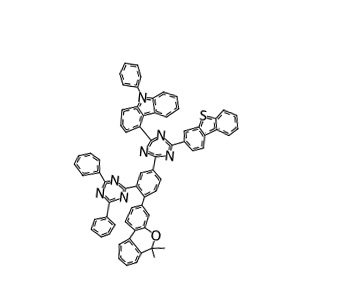 CC1(C)Oc2cc(-c3ccc(-c4nc(-c5ccc6c(c5)sc5ccccc56)nc(-c5cccc6c5c5ccccc5n6-c5ccccc5)n4)cc3-c3nc(-c4ccccc4)nc(-c4ccccc4)n3)ccc2-c2ccccc21